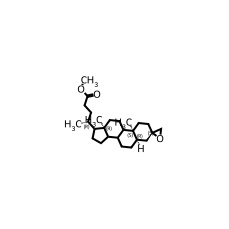 COC(=O)CC[C@@H](C)C1CCC2C3CC[C@@H]4C[C@@]5(CC[C@]4(C)C3CC[C@@]21C)CO5